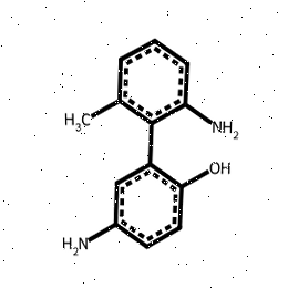 Cc1cccc(N)c1-c1cc(N)ccc1O